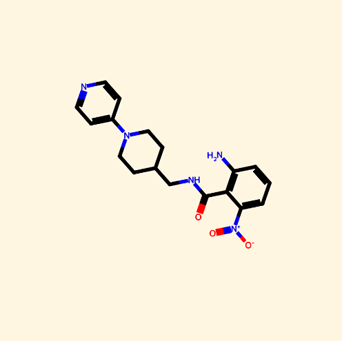 Nc1cccc([N+](=O)[O-])c1C(=O)NCC1CCN(c2ccncc2)CC1